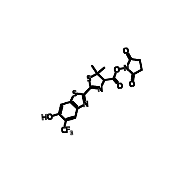 CC1(C)SC(c2nc3cc(C(F)(F)F)c(O)cc3s2)=NC1C(=O)ON1C(=O)CCC1=O